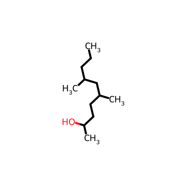 CCCC(C)CC(C)CCC(C)O